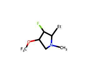 CCC1C(F)C(OC(F)(F)F)CN1C